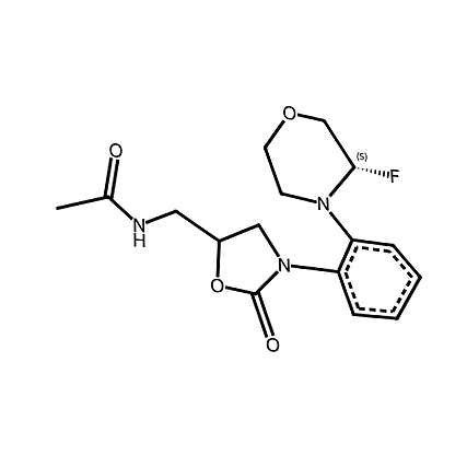 CC(=O)NCC1CN(c2ccccc2N2CCOC[C@@H]2F)C(=O)O1